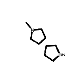 C1CCNC1.CN1CCCC1